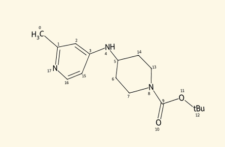 Cc1cc(NC2CCN(C(=O)OC(C)(C)C)CC2)ccn1